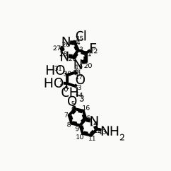 C[C@@]1(O)[C@@H](COc2ccc3ccc(N)nc3c2)O[C@@H](n2cc(F)c3c(Cl)ncnc32)[C@@H]1O